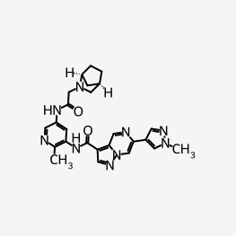 Cc1ncc(NC(=O)CN2C[C@@H]3CC[C@H]2C3)cc1NC(=O)c1cnn2cc(-c3cnn(C)c3)ncc12